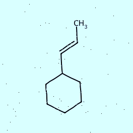 CC=CC1C[CH]CCC1